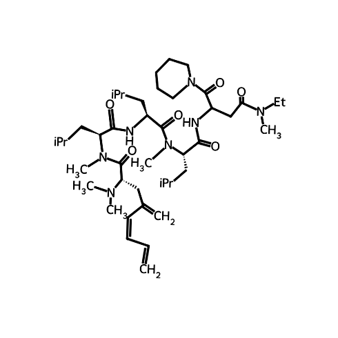 C=C/C=C\C(=C)C[C@@H](C(=O)N(C)[C@@H](CC(C)C)C(=O)N[C@@H](CC(C)C)C(=O)N(C)[C@@H](CC(C)C)C(=O)NC(CC(=O)N(C)CC)C(=O)N1CCCCC1)N(C)C